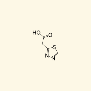 O=C(O)Cc1nncs1